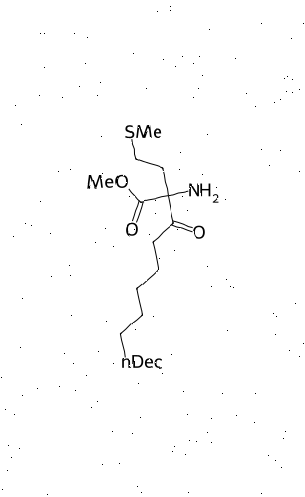 CCCCCCCCCCCCCCCC(=O)C(N)(CCSC)C(=O)OC